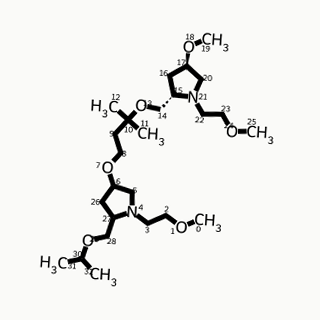 COCCN1CC(OCCC(C)(C)OC[C@@H]2C[C@@H](OC)CN2CCOC)CC1COC(C)C